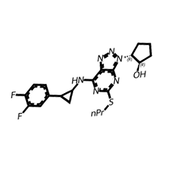 CCCSc1nc(NC2CC2c2ccc(F)c(F)c2)c2nnn([C@@H]3CCC[C@H]3O)c2n1